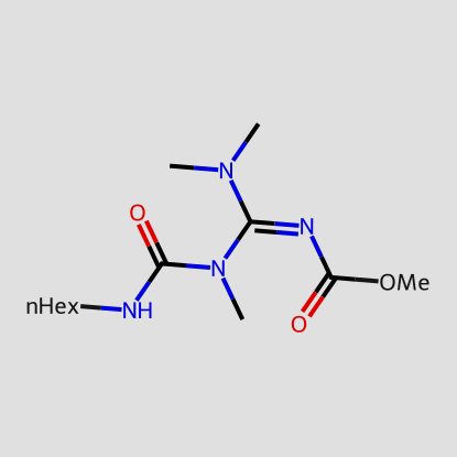 CCCCCCNC(=O)N(C)/C(=N\C(=O)OC)N(C)C